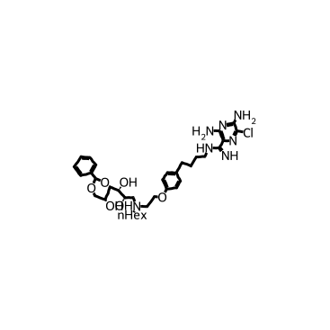 CCCCCCN(CCOc1ccc(CCCCNC(=N)c2nc(Cl)c(N)nc2N)cc1)C[C@H](O)[C@@H](O)[C@@H]1OC(c2ccccc2)OC[C@H]1O